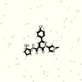 Cn1cc(-n2nc(-c3ccc(C(F)(F)F)cc3)cc(C(=O)N[C@H]3CCC[C@@H]3O)c2=O)cn1